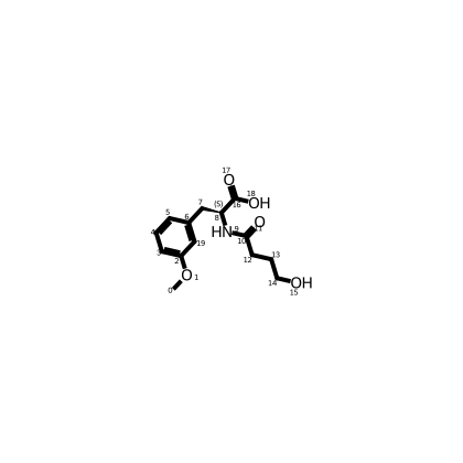 COc1cccc(C[C@H](NC(=O)CCCO)C(=O)O)c1